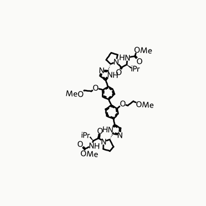 COCCOc1cc(-c2cnc([C@@H]3CCCN3C(=O)[C@@H](NC(=O)OC)C(C)C)[nH]2)ccc1-c1ccc(-c2cnc([C@@H]3CCCN3C(=O)[C@@H](NC(=O)OC)C(C)C)[nH]2)c(OCCOC)c1